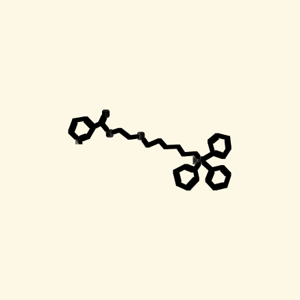 O=C(OCCOCCCCCC[PH](c1ccccc1)(c1ccccc1)c1ccccc1)c1cccnc1